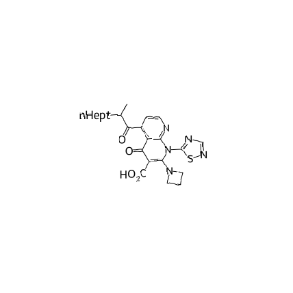 CCCCCCCC(C)C(=O)c1ccnc2c1c(=O)c(C(=O)O)c(N1CCC1)n2-c1ncns1